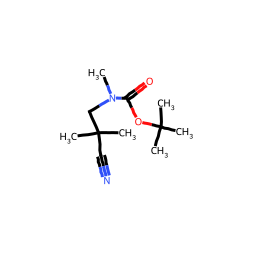 CN(CC(C)(C)C#N)C(=O)OC(C)(C)C